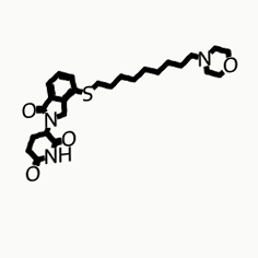 O=C1CCC(N2Cc3c(SCCCCCCCCCN4CCOCC4)cccc3C2=O)C(=O)N1